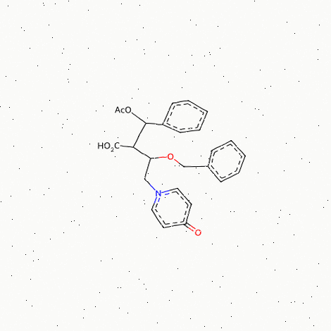 CC(=O)OC(c1ccccc1)C(C(=O)O)C(Cn1ccc(=O)cc1)OCc1ccccc1